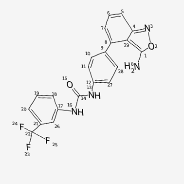 Nc1onc2cccc(-c3ccc(NC(=O)Nc4cccc(C(F)(F)F)c4)cc3)c12